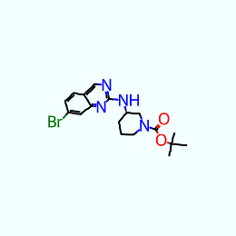 CC(C)(C)OC(=O)N1CCC[C@@H](Nc2ncc3ccc(Br)cc3n2)C1